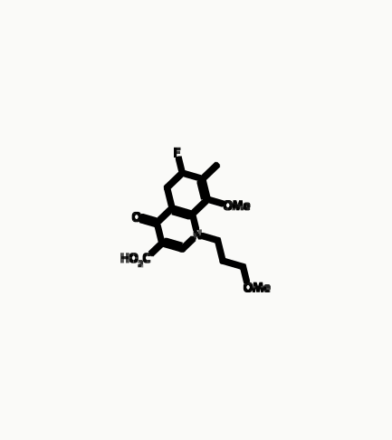 COCCCn1cc(C(=O)O)c(=O)c2c1C(OC)=C(C)C(F)C2